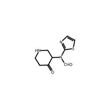 O=CN(c1nccs1)C1CNCCC1=O